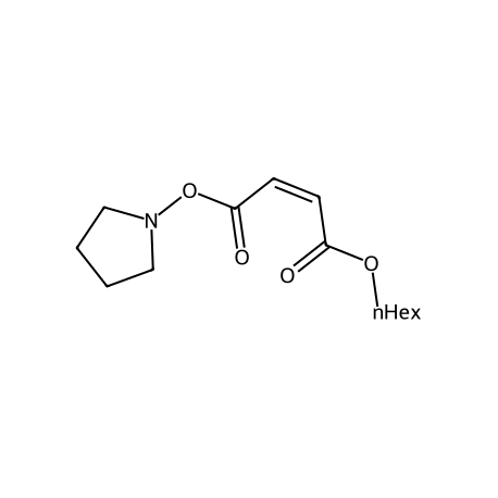 CCCCCCOC(=O)/C=C\C(=O)ON1CCCC1